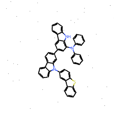 c1ccc(N(c2ccccc2)c2cc(-c3ccc4c5ccccc5n(-c5ccc6sc7ccccc7c6c5)c4c3)cc3c2[nH]c2ccccc23)cc1